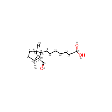 O=C[C@H]1[C@H]2CC[C@H](C2)[C@H]1CCCCCCC(=O)O